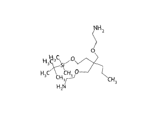 CCCC(CCO[Si](C)(C)C(C)(C)C)(COCCN)COCCN